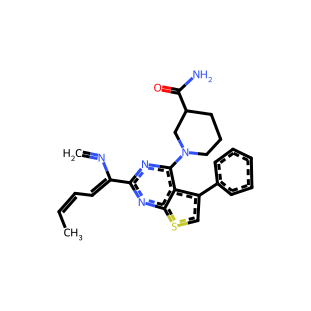 C=N/C(=C\C=C/C)c1nc(N2CCCC(C(N)=O)C2)c2c(-c3ccccc3)csc2n1